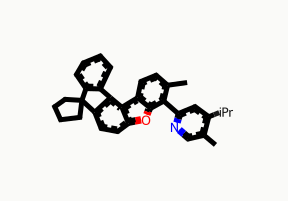 Cc1cnc(-c2c(C)ccc3c2oc2ccc4c(c23)-c2ccccc2C42CCCC2)cc1C(C)C